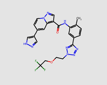 Cc1ccc(-c2nnn(CCOCC(F)(F)F)n2)cc1NC(=O)c1cnn2ccc(-c3cn[nH]c3)cc12